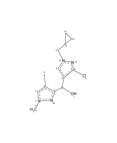 Cn1cc(I)c(C(O)c2cn(CC3CC3)nc2Cl)n1